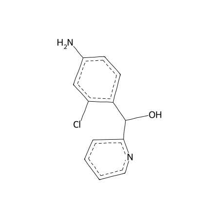 Nc1ccc(C(O)c2ccccn2)c(Cl)c1